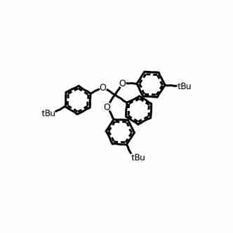 CC(C)(C)c1ccc(OC(Oc2ccc(C(C)(C)C)cc2)(Oc2ccc(C(C)(C)C)cc2)c2ccccc2)cc1